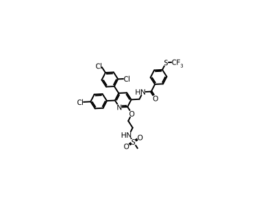 CS(=O)(=O)NCCOc1nc(-c2ccc(Cl)cc2)c(-c2ccc(Cl)cc2Cl)cc1CNC(=O)c1ccc(SC(F)(F)F)cc1